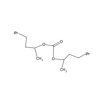 CC(C)CCC(C)OC(=O)OC(C)CCC(C)C